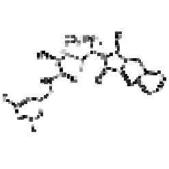 CCC[C@H](C(=O)NCc1cc(F)cc(F)c1)[C@H](C(=O)O)C(C)C(N)N1C(=O)c2cc3ccccc3cc2C1=O